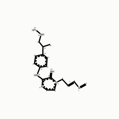 C=N/C=C/Cn1ccnc(Nc2ccc(C(C)CNCCC)cc2)c1=N